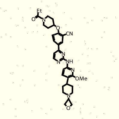 CCC(=O)N1CCC(Oc2ccc(-c3ccnc(Nc4ccc(C5CCN(C6COC6)CC5)c(OC)n4)n3)cc2C#N)CC1